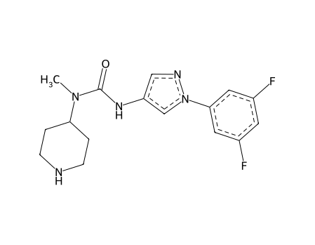 CN(C(=O)Nc1cnn(-c2cc(F)cc(F)c2)c1)C1CCNCC1